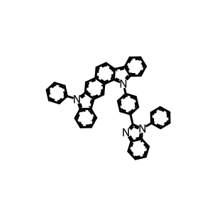 c1ccc(-n2c(-c3ccc(-n4c5ccccc5c5ccc6cc7c(cc6c54)c4ccccc4n7-c4ccccc4)cc3)nc3ccccc32)cc1